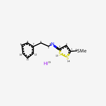 CSc1cc(=NCCc2ccccc2)ss1.I